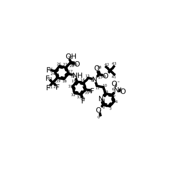 COc1ccc([N+](=O)[O-])c(CCN(Cc2c(Nc3cc(C(F)(F)F)c(F)cc3C(=O)O)ccc(F)c2F)C(=O)OC(C)(C)C)n1